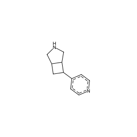 c1cc(C2CC3CNCC32)ccn1